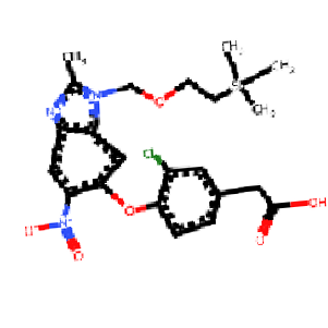 Cc1nc2cc([N+](=O)[O-])c(Oc3ccc(CC(=O)O)cc3Cl)cc2n1COCC[Si](C)(C)C